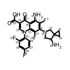 Nc1c(F)c(N2CC(N)C3(CC3)C2)c(F)c2c1c(=O)c(C(=O)O)cn2-c1ccc(F)cc1F